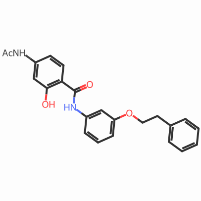 CC(=O)Nc1ccc(C(=O)Nc2cccc(OCCc3ccccc3)c2)c(O)c1